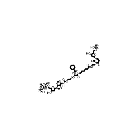 O=C(CCCCCNC(=O)C(NC(=O)C1CCCCC1)SSCCOC(=O)Nc1ncnc2c1ncn2C1CC(O)C(COP(=O)(O)OP(=O)(O)OP(=O)(O)O)O1)NCCn1c(=O)ccn(C2CC(O)C(COP(=O)(O)O)O2)c1=O